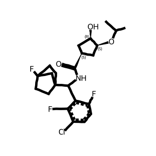 CC(C)O[C@H]1C[C@@H](C(=O)NC(c2c(F)ccc(Cl)c2F)C23CCC(F)(CC2)C3)C[C@H]1O